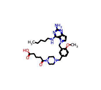 CCCCCNc1nc(N)nc2ccn(Cc3cc(CN4CCN(C(=O)CCCC(=O)O)CC4)ccc3OC)c12